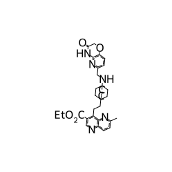 CCOC(=O)c1cnc2ccc(C)nc2c1CCC12CCC(NCc3ccc4c(n3)NC(=O)CO4)(CC1)CC2